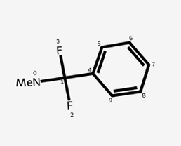 CNC(F)(F)c1ccccc1